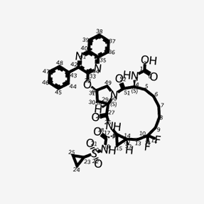 O=C(O)N[C@H]1CCCCCC(F)(F)C[C@@H]2C[C@@]2(C(=O)NS(=O)(=O)C2CC2)NC(=O)[C@@H]2C[C@@H](Oc3nc4ccccc4nc3-c3ccccc3)CN2C1=O